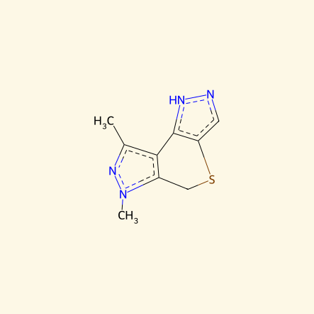 Cc1nn(C)c2c1-c1[nH]ncc1SC2